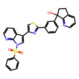 O=S(=O)(c1ccccc1)n1cc(-c2csc(-c3cccc(C4(O)CCc5cccnc54)c3)n2)c2cccnc21